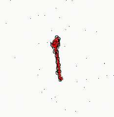 CC(C)[C@]12O[C@H]1[C@@H]1O[C@]13[C@]1(O[C@H]1C[C@H]1C4=C(CC[C@@]13C)C(=O)OC4)[C@@H]2OC(=O)CCCC(=O)OCCOCCOCCOCCOCCOCCOC(=O)CCCCC1CCSS1